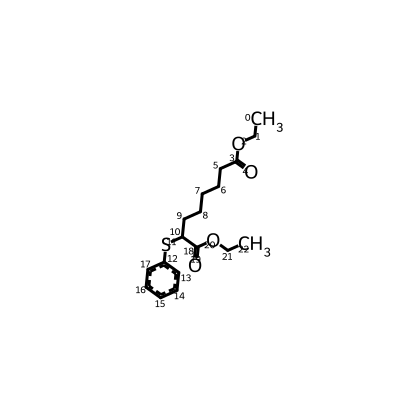 CCOC(=O)CCCCCC(Sc1ccccc1)C(=O)OCC